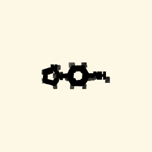 Nc1ccc(N2CCC=N2)cc1